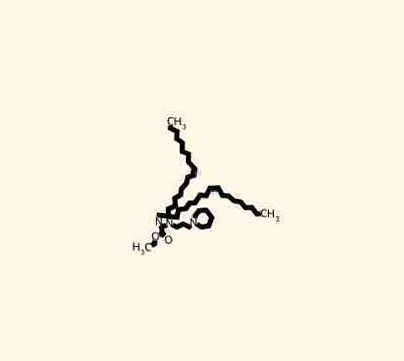 CCCCCCCC/C=C\CCCCCCCC1(CCCCCCC/C=C\CCCCCCCC)C=NC(C(=O)OCC)N1CCCN1CCCCCC1